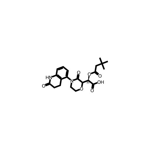 CC(C)(C)CC(=O)O[C@@H](C(=O)O)C1OCCN(c2cccc3c2CCC(=O)N3)C1=O